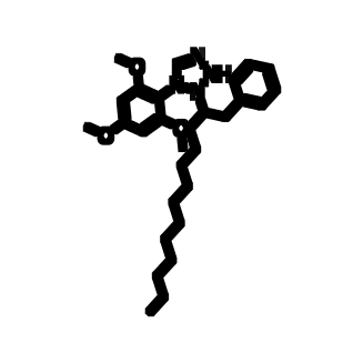 CCCCCCCCCCCC(Cc1ccccc1)N1NN=CN1c1c(OC)cc(OC)cc1OC